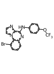 FC(F)(F)Oc1ccc(Nc2nc3cccc(Br)c3n3ccnc23)cc1